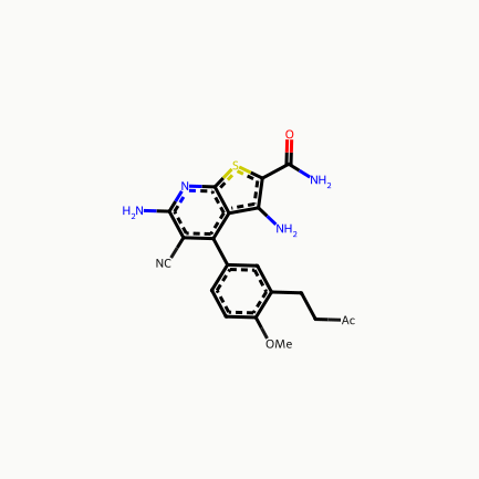 COc1ccc(-c2c(C#N)c(N)nc3sc(C(N)=O)c(N)c23)cc1CCC(C)=O